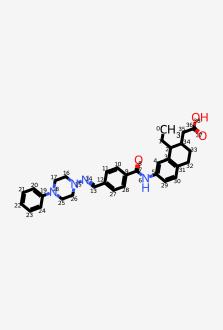 CCC1c2cc(NC(=O)c3ccc(C=NN4CCN(c5ccccc5)CC4)cc3)ccc2CCC1CC(=O)O